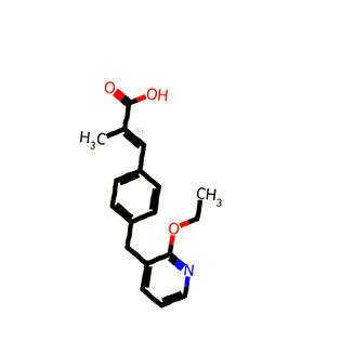 CCOc1ncccc1Cc1ccc(/C=C(\C)C(=O)O)cc1